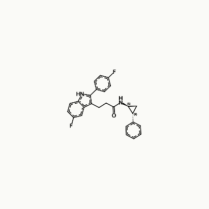 O=C(CCc1c(-c2ccc(F)cc2)[nH]c2ccc(F)cc12)N[C@H]1C[C@@H]1c1ccccc1